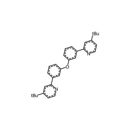 CC(C)(C)c1ccnc(-c2cccc(Oc3cccc(-c4cc(C(C)(C)C)ccn4)c3)c2)c1